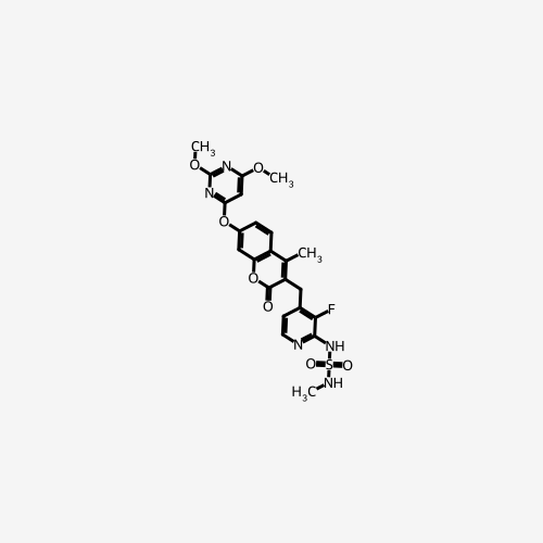 CNS(=O)(=O)Nc1nccc(Cc2c(C)c3ccc(Oc4cc(OC)nc(OC)n4)cc3oc2=O)c1F